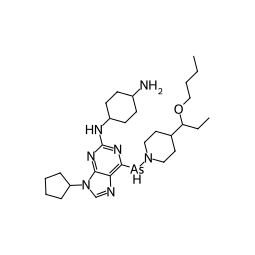 CCCCOC(CC)C1CCN([AsH]c2nc(NC3CCC(N)CC3)nc3c2ncn3C2CCCC2)CC1